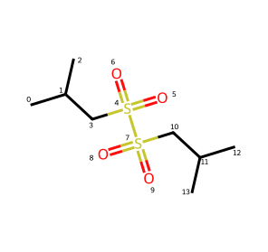 CC(C)CS(=O)(=O)S(=O)(=O)CC(C)C